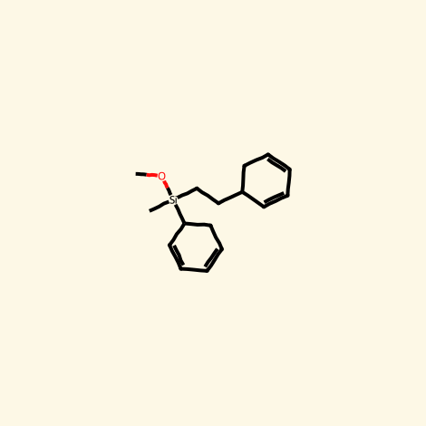 CO[Si](C)(CCC1C=CC=CC1)C1C=CC=CC1